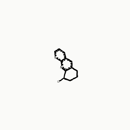 ClC1CCCc2cc3cccnc3nc21